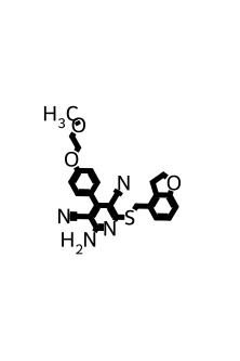 COCCOc1ccc(-c2c(C#N)c(N)nc(SCc3cccc4c3CCO4)c2C#N)cc1